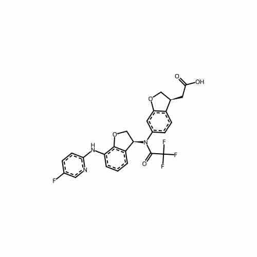 O=C(O)C[C@@H]1COc2cc(N(C(=O)C(F)(F)F)[C@@H]3COc4c(Nc5ccc(F)cn5)cccc43)ccc21